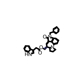 O=C(Cc1c[nH]c2ccccc12)O/C=C1\C=C2C(=O)N(Cc3ccccc3)c3cccc(c32)N2CCCC12